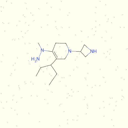 CCC(CC)C1=C(N(C)N)CCN(C2CNC2)C1